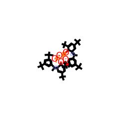 C/C1=C2\C=C(C(C)(C)C)C=C(C(C)(C)C)C2OP(OP2Oc3c(cc(C(C)(C)C)cc3C(C)(C)C)/C(C)=C3/C=C(C(C)(C)C)C=C(C(C)(C)C)C3O2)Oc2c1cc(C(C)(C)C)cc2C(C)(C)C